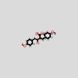 COc1ccc(CC(=O)c2cc3ccc(OC)cc3oc2=O)cc1